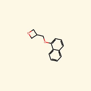 c1ccc2c(OCC3COC3)cccc2c1